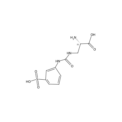 N[C@@H](CNC(=O)Nc1cccc(S(=O)(=O)O)c1)C(=O)O